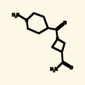 NC(=O)C1CN(C(=O)C2CCN(N)CC2)C1